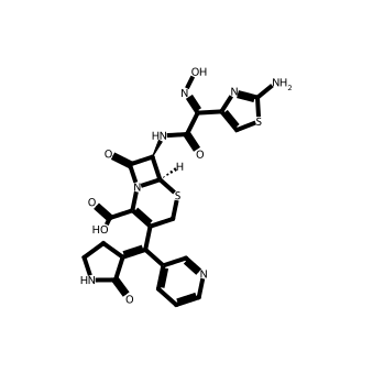 Nc1nc(C(=NO)C(=O)N[C@@H]2C(=O)N3C(C(=O)O)=C(C(=C4CCNC4=O)c4cccnc4)CS[C@H]23)cs1